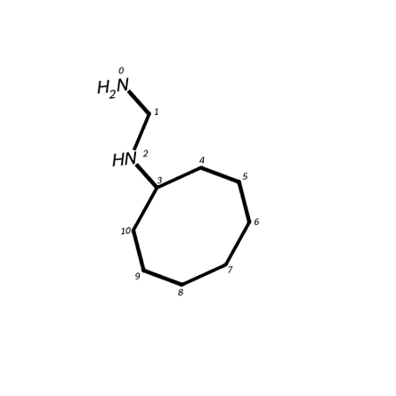 NCNC1CCCCCCC1